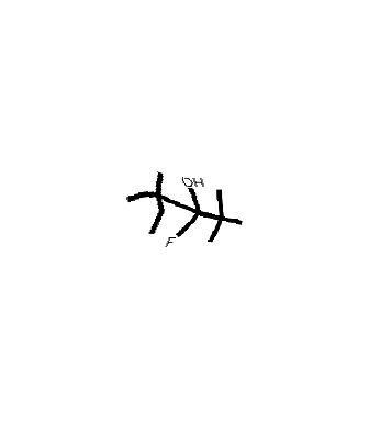 CC(C)(C)C(O)(F)C(C)(C)C